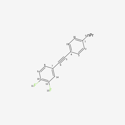 CCCc1ccc(C#Cc2ccc(F)c(F)c2)cc1